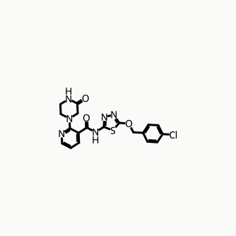 O=C1CN(c2ncccc2C(=O)Nc2nnc(OCc3ccc(Cl)cc3)s2)CCN1